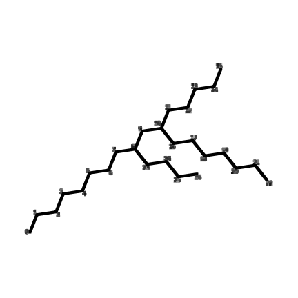 CCCCCCCCC([CH]C(CCCCC)CCCCCCC)CCCC